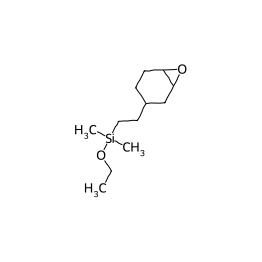 CCO[Si](C)(C)CCC1CCC2OC2C1